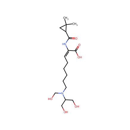 CC1(C)CC1C(=O)NC(=CCCCCCN(CO)C(CO)CO)C(=O)O